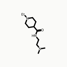 CCN1CCC(C(=O)NCCN(C)C)CC1